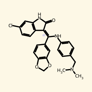 CN(C)Cc1ccc(N/C(=C2\C(=O)Nc3cc(Cl)ccc32)c2ccc3c(c2)OCO3)cc1